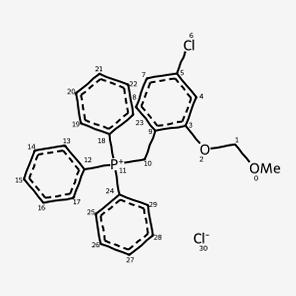 COCOc1cc(Cl)ccc1C[P+](c1ccccc1)(c1ccccc1)c1ccccc1.[Cl-]